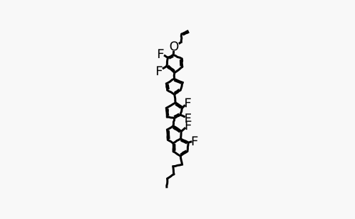 C=CCOc1ccc(-c2ccc(-c3ccc(-c4ccc5cc(CCCCC)cc(F)c5c4F)c(F)c3F)cc2)c(F)c1F